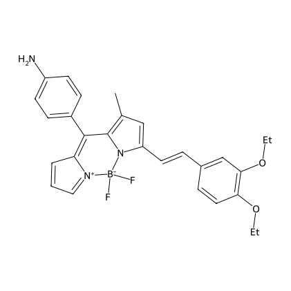 CCOc1ccc(/C=C/c2cc(C)c3n2[B-](F)(F)[N+]2=CC=CC2=C3c2ccc(N)cc2)cc1OCC